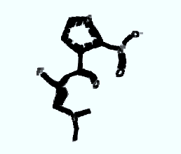 CN(C)/C=C(/F)C(=O)c1ccsc1[N+](=O)[O-]